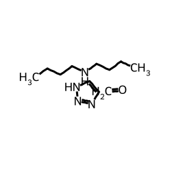 C=O.CCCCNCCCC.c1c[nH]nn1